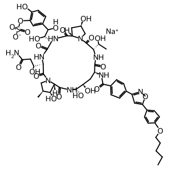 CCCCCOc1ccc(-c2cc(-c3ccc(C(=O)N[C@H]4C[C@@H](O)[C@H](O)NC(=O)[C@@H]5[C@@H](O)[C@@H](C)CN5C(=O)[C@H](C(O)CC(N)=O)NC(=O)[C@H](C(O)C(O)c5ccc(O)c(OS(=O)(=O)[O-])c5)NC(=O)[C@@H]5C[C@@H](O)CN5C(=O)[C@H](C(C)O)NC4=O)cc3)no2)cc1.[Na+]